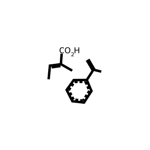 C/C=C(\C)C(=O)O.C=C(C)c1ccccc1